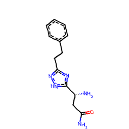 NC(=O)C[C@@H](N)c1nc(CCc2ccccc2)n[nH]1